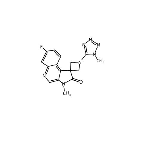 CN1C(=O)C2(CN(c3nnnn3C)C2)c2c1cnc1cc(F)ccc21